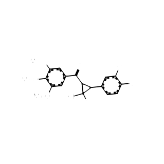 COc1cc(C(=O)C2C(c3ccc(C)c(O)c3)C2(Cl)Cl)cc(OC)c1OC